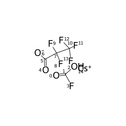 O=C(O)F.O=C([O-])C(F)(F)C(F)(F)F.[Cs+]